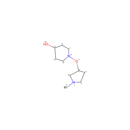 CC(C)N1CCC(ON2CCC(O)CC2)C1